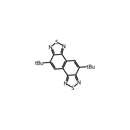 CC(C)(C)c1cc2c(cc(C(C)(C)C)c3nsnc32)c2nsnc12